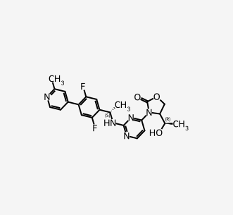 Cc1cc(-c2cc(F)c([C@H](C)Nc3nccc(N4C(=O)OCC4[C@@H](C)O)n3)cc2F)ccn1